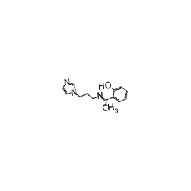 C/C(=N\CCCn1ccnc1)c1ccccc1O